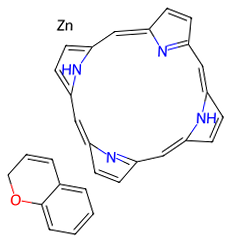 C1=Cc2cc3ccc(cc4nc(cc5ccc(cc1n2)[nH]5)C=C4)[nH]3.C1=Cc2ccccc2OC1.[Zn]